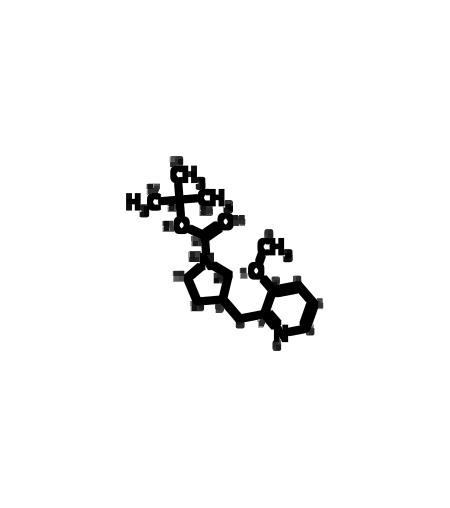 COc1cccnc1CC1CCN(C(=O)OC(C)(C)C)C1